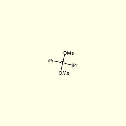 C[O][Ti]([O]C)([CH](C)C)[CH](C)C